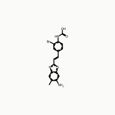 Cc1cc2nc(C=Cc3ccc(NC(=O)O)c(Br)c3)sc2cc1N